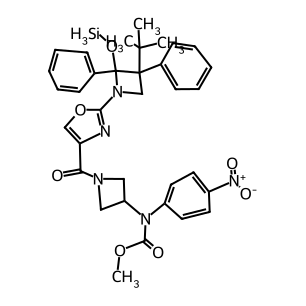 COC(=O)N(c1ccc([N+](=O)[O-])cc1)C1CN(C(=O)c2coc(N3CC(c4ccccc4)(C(C)(C)C)C3(O[SiH3])c3ccccc3)n2)C1